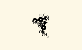 COC(=O)c1ccc(C2CC2)c(S(=O)(=O)Nc2cc(-c3cnoc3C)ccc2-c2cccnc2)c1